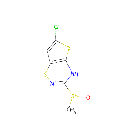 C[S+]([O-])C1=NSc2cc(Cl)sc2N1